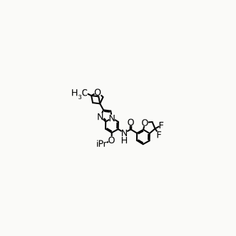 CC(C)Oc1cc2nc(C34COC(C)(C3)C4)cn2cc1NC(=O)c1cccc2c1OCC2(F)F